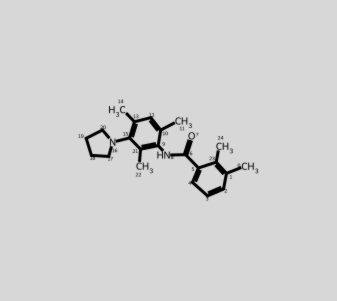 Cc1cccc(C(=O)Nc2c(C)cc(C)c(N3CCCC3)c2C)c1C